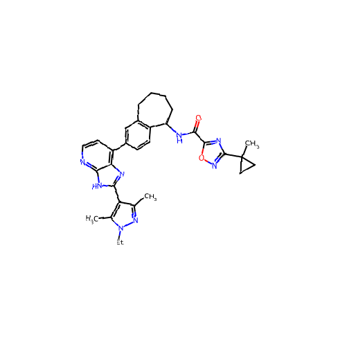 CCn1nc(C)c(-c2nc3c(-c4ccc5c(c4)CCCCC5NC(=O)c4nc(C5(C)CC5)no4)ccnc3[nH]2)c1C